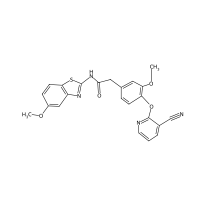 COc1ccc2sc(NC(=O)Cc3ccc(Oc4ncccc4C#N)c(OC)c3)nc2c1